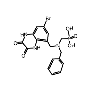 O=c1[nH]c2cc(Br)cc(CN(Cc3ccccc3)CP(=O)(O)O)c2[nH]c1=O